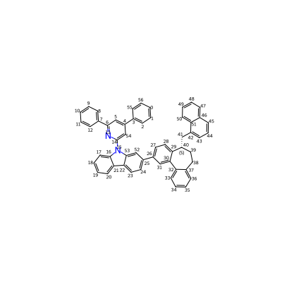 c1ccc(-c2cc(-c3ccccc3)nc(-n3c4ccccc4c4ccc(-c5ccc6c(c5)-c5ccccc5CC[C@H]6Cc5cccc6ccccc56)cc43)c2)cc1